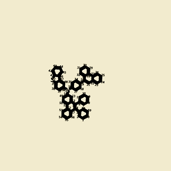 c1ccc(-c2c(-c3ccccc3)c3cc(N(c4ccc(-c5cc6ccccc6c6ccccc56)cc4)c4ccc5sc6ccccc6c5c4)ccc3c3ccccc23)cc1